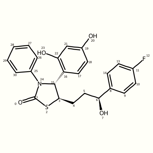 O=C1S[C@H](CC[C@H](O)c2ccc(F)cc2)[C@@H](c2ccc(O)cc2O)N1c1ccccc1